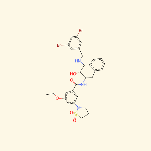 CCOc1cc(C(=O)N[C@@H](Cc2ccccc2)[C@H](O)CNCc2cc(Br)cc(Br)c2)cc(N2CCCS2(=O)=O)c1